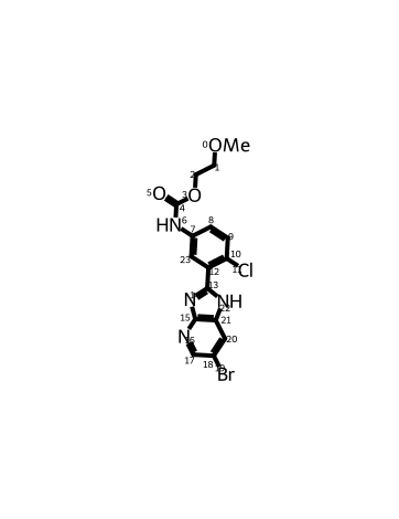 COCCOC(=O)Nc1ccc(Cl)c(-c2nc3ncc(Br)cc3[nH]2)c1